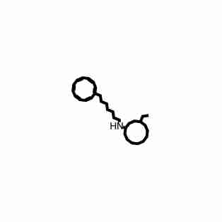 CCC1CCCCCCCCC(NCCCCCCCC2=C/C=C\C=C/C=C\C=C/C=C\2)CC1